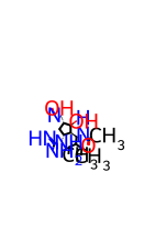 CCC(CC)C(NC(C)=O)[C@@H]1[C@H](O)[C@@H](/C=N/O)C[C@H]1NC(=N)N